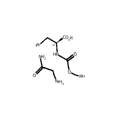 CC(C)C[C@H](NC(=O)OC(C)(C)C)C(=O)O.NCC(N)=O